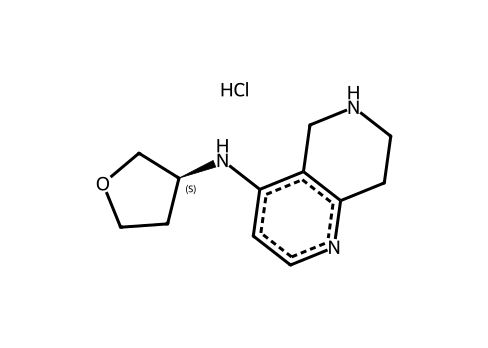 Cl.c1cc(N[C@H]2CCOC2)c2c(n1)CCNC2